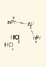 CC[CH2][Al][CH2]CC.Cl.Cl